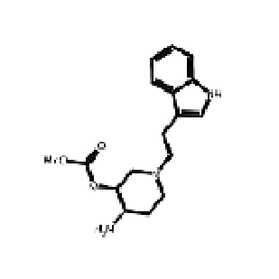 COC(=O)O[C@H]1CN(CCc2c[nH]c3ccccc23)CC[C@H]1N